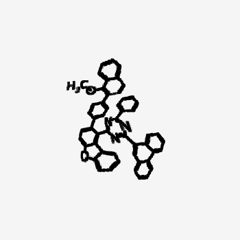 COc1c(-c2ccc(-c3ccc4oc5ccccc5c4c3-c3nc(-c4ccccc4)nc(-c4cc5ccccc5c5ccccc45)n3)cc2)ccc2ccccc12